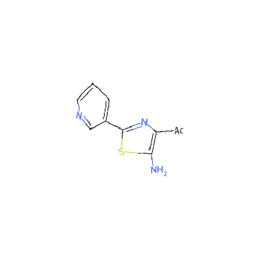 CC(=O)c1nc(-c2cccnc2)sc1N